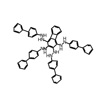 c1ccc(-c2ccc(NNc3c(NNc4ccc(-c5ccccc5)cc4)c(NNc4ccc(-c5ccccc5)cc4)c4c(c3NNc3ccc(-c5ccccc5)cc3)-c3ccccc3-4)cc2)cc1